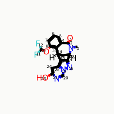 CN1C(=O)c2cccc(OC(F)F)c2[C@H]2C[C@@H]1c1nn3cnc(O)cc3c12